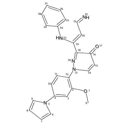 COc1cc(-n2cccc2)ccc1-n1ccc(=O)c(/C(=C/C=N)Nc2ccccc2)n1